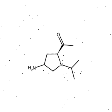 CC(=O)[C@@H]1CC(N)CN1C(C)C